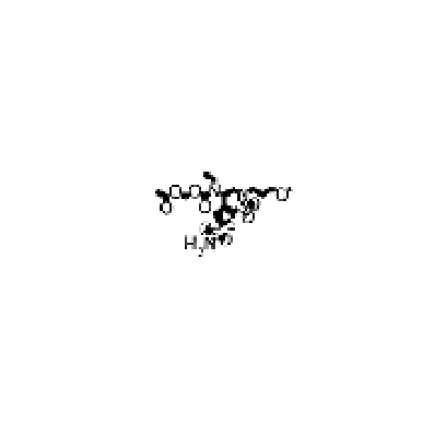 CCN(C(=O)OCOC(C)=O)[C@H]1CN(CCCOC)S(=O)(=O)c2sc(S(N)(=O)=O)cc21